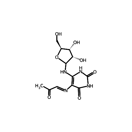 CC(=O)C=Nc1c(NC2O[C@@H](CO)[C@H](O)[C@@H]2O)[nH]c(=O)[nH]c1=O